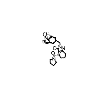 Cn1ncc2cc(Cn3nc4n(c3=O)[C@@H](C(=O)N3CCCC3)CCC4)ccc21